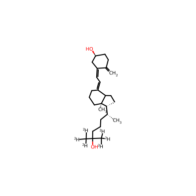 [2H]C([2H])([2H])C(O)(CCC[C@@H](C)[C@H]1CCC2/C(=C/C=C3/C[C@@H](O)CCC3=C)CCC[C@@]21C)C([2H])([2H])[2H]